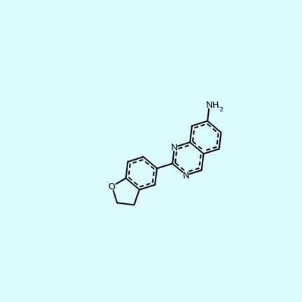 Nc1ccc2cnc(-c3ccc4c(c3)CCO4)nc2c1